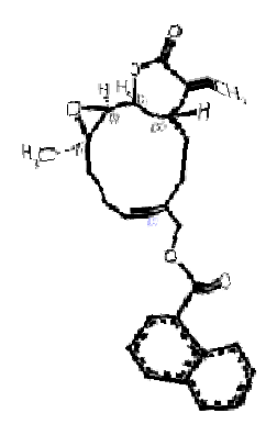 C=C1C(=O)O[C@H]2[C@H]1CC/C(COC(=O)c1cccc3ccccc13)=C\CC[C@@]1(C)O[C@@H]21